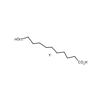 CCCCCCCCCCCCCCCCCC(=O)O.[Y]